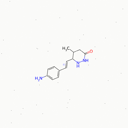 CC1CC(=O)NNC1/C=C/c1ccc(N)cc1